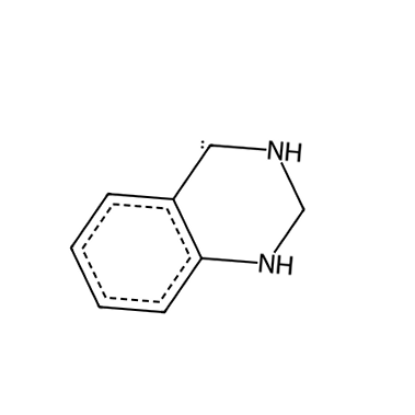 [C]1NCNc2ccccc21